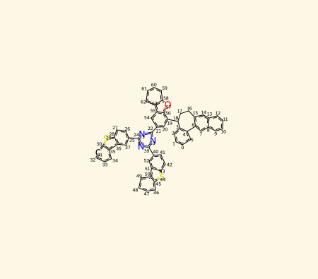 c1ccc2c(c1)-c1cc3ccccc3cc1CCC2c1cc(-c2nc(-c3ccc4sc5ccccc5c4c3)nc(-c3ccc4sc5ccccc5c4c3)n2)cc2c1oc1ccccc12